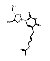 CC(=O)OCC=CCc1cn([C@@H]2CC(O)[C@H](CO)O2)c(=O)[nH]c1=O